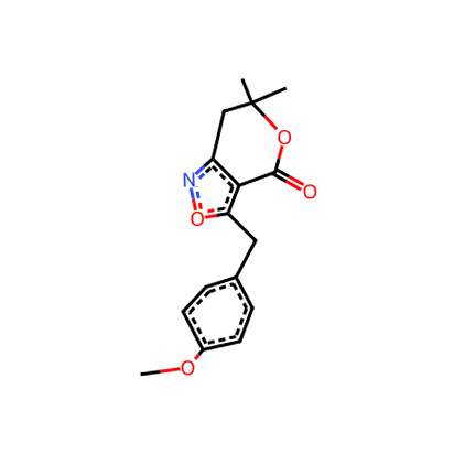 COc1ccc(Cc2onc3c2C(=O)OC(C)(C)C3)cc1